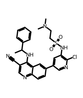 CC(Nc1c(C#N)cnc2ccc(-c3cnc(Cl)c(NS(=O)(=O)CCN(C)C)c3)cc12)c1ccccc1